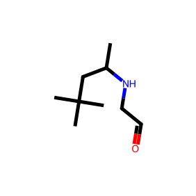 CC(CC(C)(C)C)NCC=O